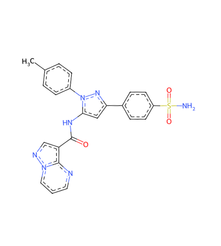 Cc1ccc(-n2nc(-c3ccc(S(N)(=O)=O)cc3)cc2NC(=O)c2cnn3cccnc23)cc1